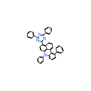 c1ccc(-c2nc(-c3ccccc3)nc(-c3ccc4c5c(cccc35)-c3c(-c5ccccc5)cccc3N4c3ccccc3)n2)cc1